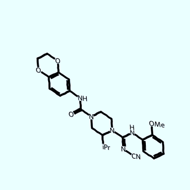 COc1ccccc1N/C(=N\C#N)N1CCN(C(=O)Nc2ccc3c(c2)OCCO3)CC1C(C)C